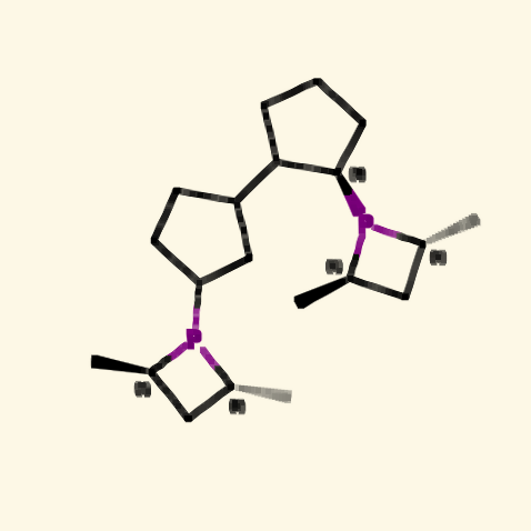 C[C@@H]1C[C@@H](C)P1C1CCC(C2CCC[C@H]2P2[C@H](C)C[C@H]2C)C1